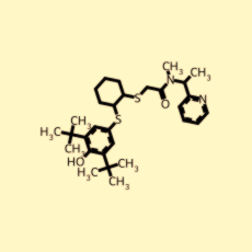 CC(c1ccccn1)N(C)C(=O)CSC1CCCCC1Sc1cc(C(C)(C)C)c(O)c(C(C)(C)C)c1